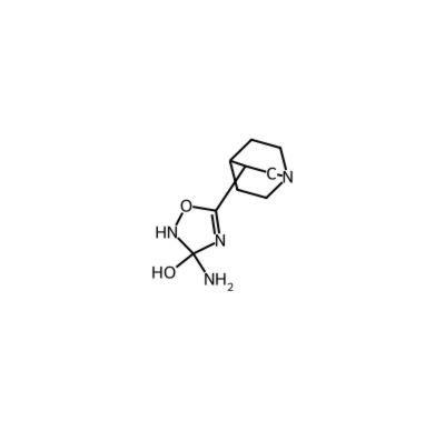 NC1(O)N=C(C2CN3CCC2CC3)ON1